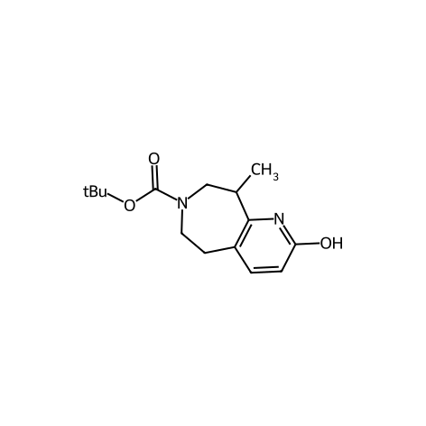 CC1CN(C(=O)OC(C)(C)C)CCc2ccc(O)nc21